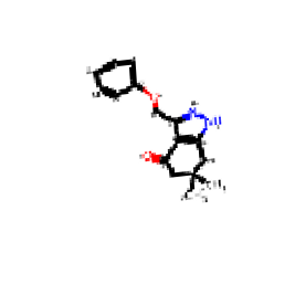 CC1(C)CC(=O)c2c(COc3ccccc3)n[nH]c2C1